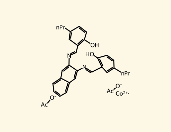 CC(=O)[O-].CC(=O)[O-].CCCc1ccc(O)c(C=Nc2cc3ccccc3cc2N=Cc2cc(CCC)ccc2O)c1.[Co+2]